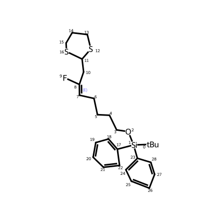 CC(C)(C)[Si](OCCCC/C=C(/F)CC1SCCCS1)(c1ccccc1)c1ccccc1